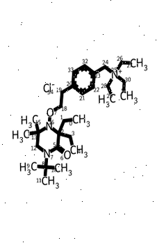 CCC1(CC)C(=O)N(C(C)(C)C)CC(C)(C)N1OCCc1ccc(C[N+](CC)(CC)CC)cc1.[Cl-]